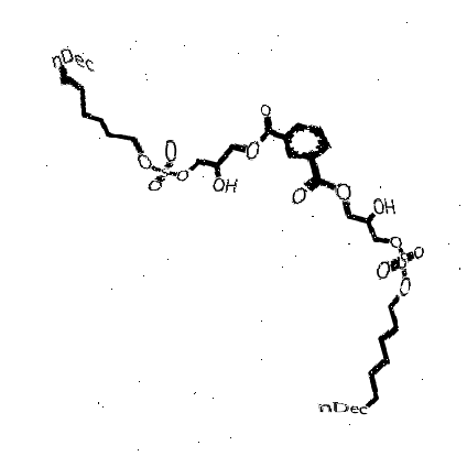 CCCCCCCCCCCCCCCCOS(=O)(=O)OCC(O)COC(=O)c1cccc(C(=O)OCC(O)COS(=O)(=O)OCCCCCCCCCCCCCCCC)c1